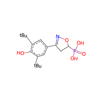 CC(C)(C)c1cc(C2=NOC(P(=O)(O)O)C2)cc(C(C)(C)C)c1O